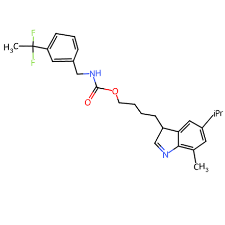 Cc1cc(C(C)C)cc2c1N=CC2CCCCOC(=O)NCc1cccc(C(C)(F)F)c1